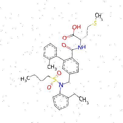 CCCCS(=O)(=O)N(Cc1ccc(C(=O)N[C@@H](CCSC)C(=O)O)c(-c2ccccc2C)c1)c1ccccc1CC